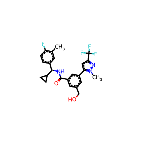 Cc1cc([C@@H](NC(=O)c2cc(CO)cc(-c3cc(C(F)(F)F)nn3C)c2)C2CC2)ccc1F